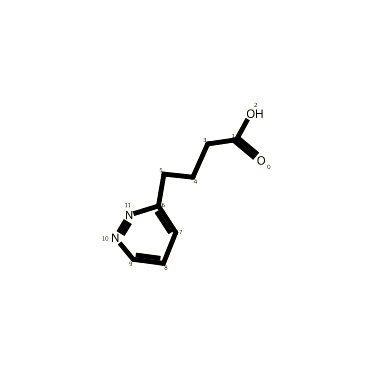 O=C(O)CCCc1cccnn1